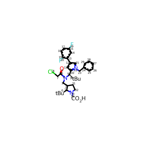 CC(C)(C)C1C(CN(C(=O)CCl)[C@@H](c2cc(-c3cc(F)ccc3F)cn2Cc2ccccc2)C(C)(C)C)CCN1C(=O)O